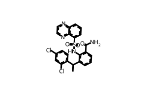 CC(c1ccc(Cl)cc1Cl)c1cccc(C(N)=O)c1NS(=O)(=O)c1cccc2nccnc12